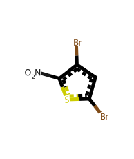 O=[N+]([O-])c1sc(Br)cc1Br